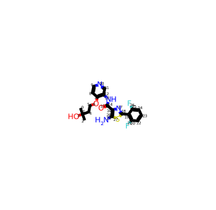 CC(C)(O)CCOc1ccncc1NC(=O)c1nc(-c2c(F)cccc2F)sc1N